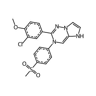 COc1ccc(C2=NN3C=CNC3=CN2c2ccc(S(C)(=O)=O)cc2)cc1Cl